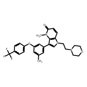 Cc1cc(Oc2ccc(C(F)(F)F)cc2)cc(-c2cn(CCN3CCOCC3)c3ccc(=O)n(C)c23)c1